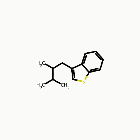 CC(C)C(C)Cc1csc2ccccc12